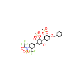 COc1cc(-c2ccc(N(C(=O)C(F)(F)F)S(C)(=O)=O)c(C(F)(F)F)c2)c(OC)c(OS(C)(=O)=O)c1-c1ccc(OCc2ccccc2)c(OS(C)(=O)=O)c1